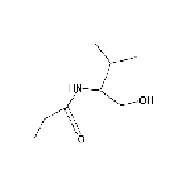 CCC(=O)NC(CO)C(C)C